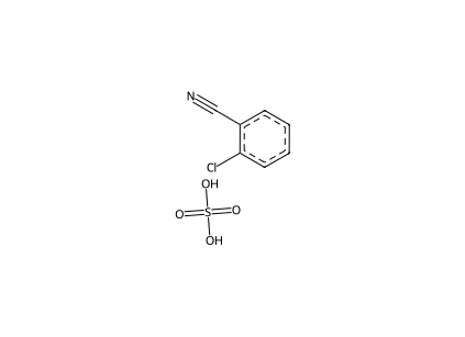 N#Cc1ccccc1Cl.O=S(=O)(O)O